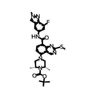 CSc1ncc2c(N3C[C@@H](C)N(C(=O)OC(C)(C)C)[C@@H](C)C3)ccc(C(=O)Nc3cc(F)c4nn(C)cc4c3)c2n1